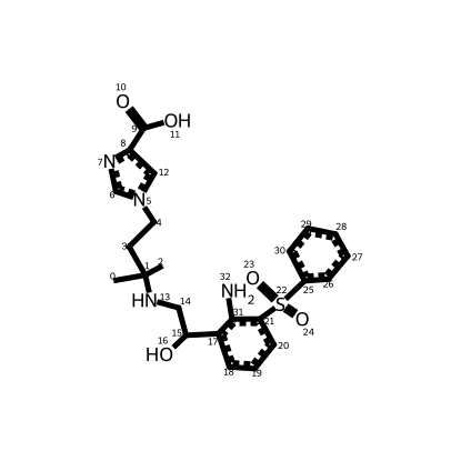 CC(C)(CCn1cnc(C(=O)O)c1)NCC(O)c1cccc(S(=O)(=O)c2ccccc2)c1N